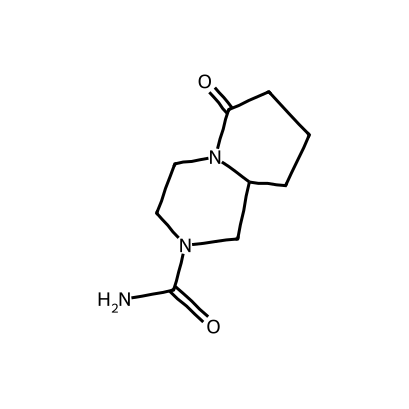 NC(=O)N1CCN2C(=O)CCCC2C1